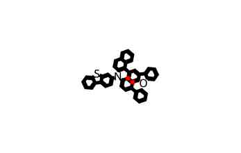 c1ccc(-c2ccc(N(c3ccc4c(c3)sc3ccccc34)c3ccc4ccccc4c3-c3ccc4oc5ccccc5c4c3)cc2)cc1